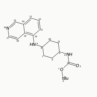 CC(C)(C)OC(=O)NC1CCC(Nc2cccc3cnccc23)CC1